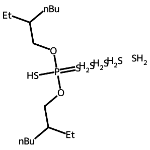 CCCCC(CC)COP(=S)(S)OCC(CC)CCCC.S.S.S.S